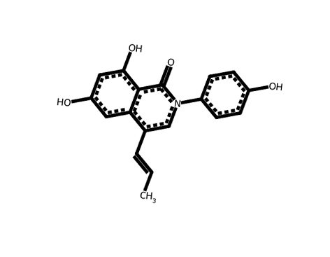 C/C=C/c1cn(-c2ccc(O)cc2)c(=O)c2c(O)cc(O)cc12